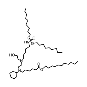 CCCCCCCCCCCOC(=O)CCCCCN(CCN(CCO)CCCCCNP(=O)(OCCCCCCCCC)OCCCCCCCCC)C1CCCCC1